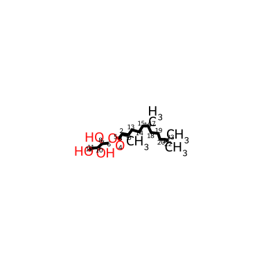 C/C(=C\C(=O)OCC(O)C(O)CO)CCCC(C)CCCC(C)C